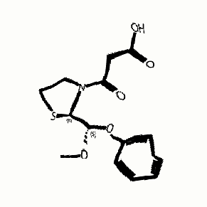 CO[C@@H](Oc1ccccc1)[C@H]1SCCN1C(=O)CC(=O)O